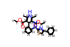 CCOC(=O)C1=C(C)NC(C)=C(C(=O)OCC)C1c1ccccc1Nc1nc(-c2ccccc2)cs1